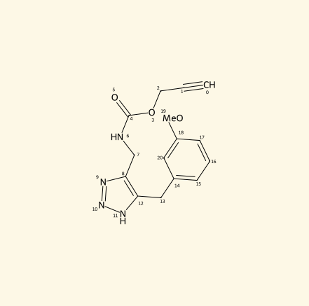 C#CCOC(=O)NCc1nn[nH]c1Cc1cccc(OC)c1